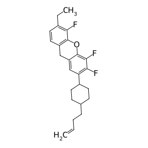 C=CCCC1CCC(c2cc3c(c(F)c2F)Oc2c(ccc(CC)c2F)C3)CC1